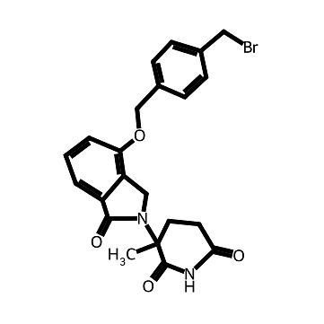 CC1(N2Cc3c(OCc4ccc(CBr)cc4)cccc3C2=O)CCC(=O)NC1=O